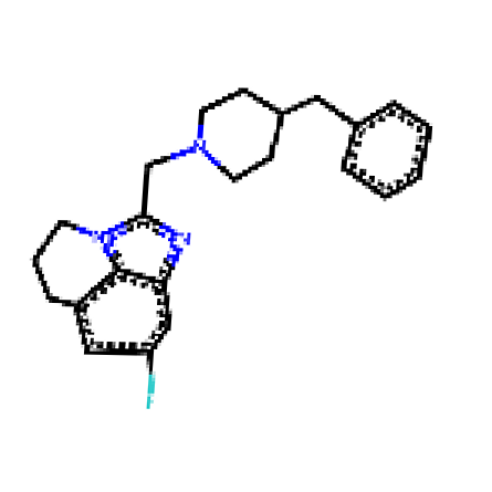 Fc1cc2c3c(c1)nc(CN1CCC(Cc4ccccc4)CC1)n3CCC2